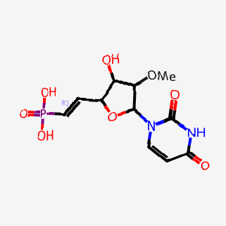 COC1C(O)C(/C=C/P(=O)(O)O)OC1n1ccc(=O)[nH]c1=O